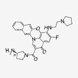 N[C@@H]1CCN(C(=O)c2cn3c4c(c(NCCN5CCCC5)c(F)cc4c2=O)Oc2cc4ccccc4cc2-3)C1